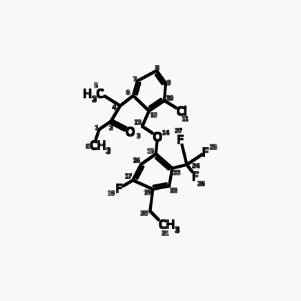 CCC(=O)C(C)c1cccc(Cl)c1COc1cc(F)c(CC)cc1C(F)(F)F